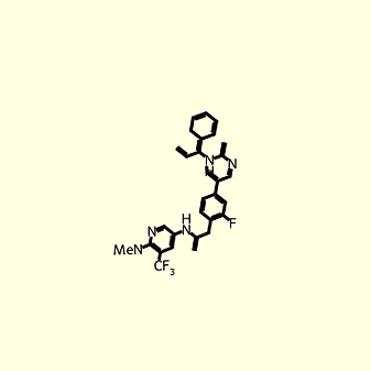 C=C/C(NC(=C)/N=C\C(=C/C)c1ccc(CC(=C)Nc2cnc(NC)c(C(F)(F)F)c2)c(F)c1)=C1/C=CC=CC1